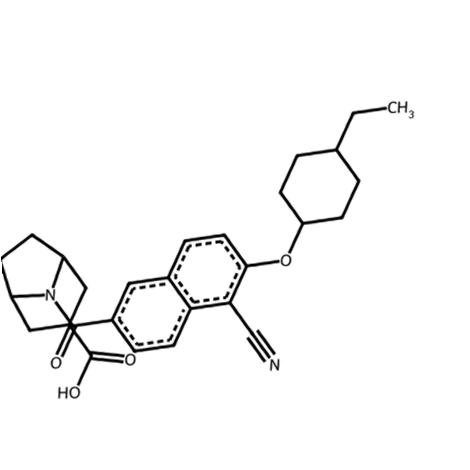 CCC1CCC(Oc2ccc3cc(C(=O)N4C5CCC4CC(C(=O)O)C5)ccc3c2C#N)CC1